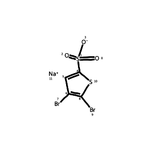 O=S(=O)([O-])c1cc(Br)c(Br)s1.[Na+]